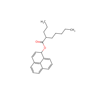 CCCCCC(CCC)C(=O)OC1C=Cc2cccc3cccc1c23